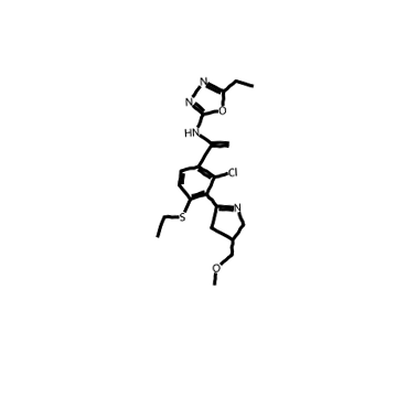 C=C(Nc1nnc(CC)o1)c1ccc(SCC)c(C2=NCC(COC)C2)c1Cl